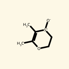 CC1=C(C)[S+]([O-])CCO1